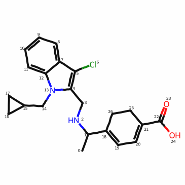 CC(NCc1c(Cl)c2ccccc2n1CC1CC1)C1=CC=C(C(=O)O)CC1